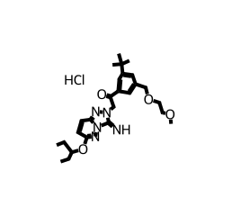 CCC(CC)Oc1ccc2nn(CC(=O)c3cc(COCCOC)cc(C(C)(C)C)c3)c(=N)n2n1.Cl